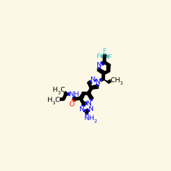 CCC(C)NC(=O)c1cc(-c2cnn([C@H](CC)c3ccc(C(F)(F)F)nc3)c2)cn2nc(N)nc12